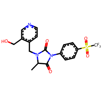 CC1C(=O)N(c2ccc(S(=O)(=O)C(F)(F)F)cc2)C(=O)N1Cc1ccncc1CO